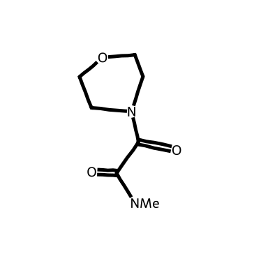 CNC(=O)C(=O)N1CCOCC1